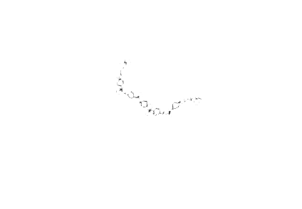 C=CC(=O)OCCCOc1ccc(C(=O)OCc2ccc(C(=O)Oc3ccc(OC(=O)c4ccc(COC(=O)c5ccc(OCCCOC(C)=O)cc5)cc4)cc3)cc2)cc1